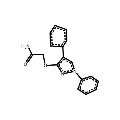 NC(=O)COc1nn(-c2ccccc2)cc1-c1ccccc1